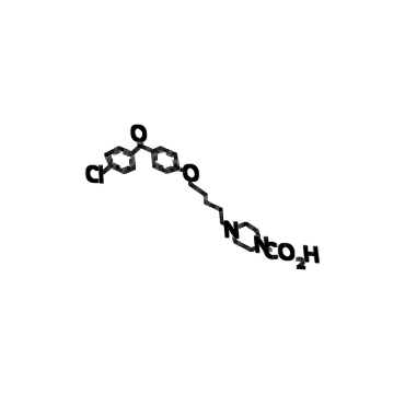 O=C(c1ccc(Cl)cc1)c1ccc(OCCCCCN2CCN(C(=O)O)CC2)cc1